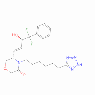 O=C1COC[C@H](/C=C/[C@@H](O)C(F)(F)c2ccccc2)N1CCCCCCc1nn[nH]n1